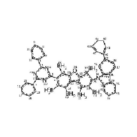 Bc1c(-c2nc(-c3ccccc3)nc(-c3ccccc3)n2)c(B)c2oc3c(B)c(-n4c5ccccc5c5ccc(C6=CCCC=C6)cc54)c(B)c(B)c3c2c1B